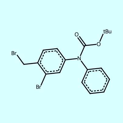 CC(C)(C)OC(=O)N(c1ccccc1)c1ccc(CBr)c(Br)c1